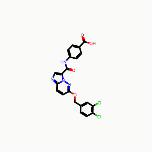 O=C(O)c1ccc(NC(=O)c2cnc3ccc(OCc4ccc(Cl)c(Cl)c4)nn23)cc1